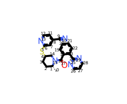 C[C@@H]1CC[C@@H](Sc2cc(C#N)ccn2)CN1C(=O)c1ccccc1-c1ncccn1